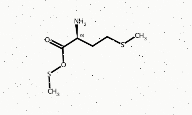 CSCC[C@H](N)C(=O)OSC